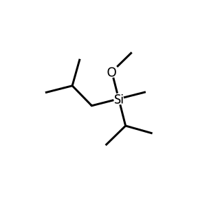 CO[Si](C)(CC(C)C)C(C)C